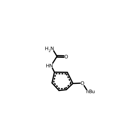 CCCCOc1cccc(NC(N)=O)c1